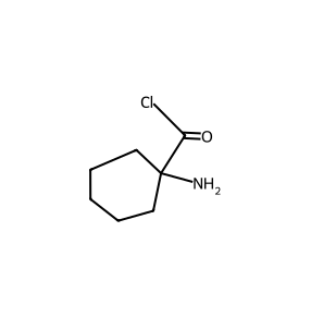 NC1(C(=O)Cl)CCCCC1